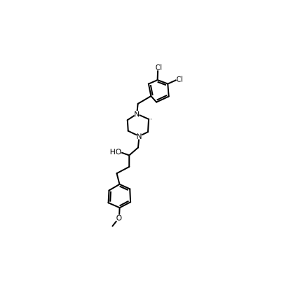 COc1ccc(CCC(O)CN2C[CH]N(Cc3ccc(Cl)c(Cl)c3)CC2)cc1